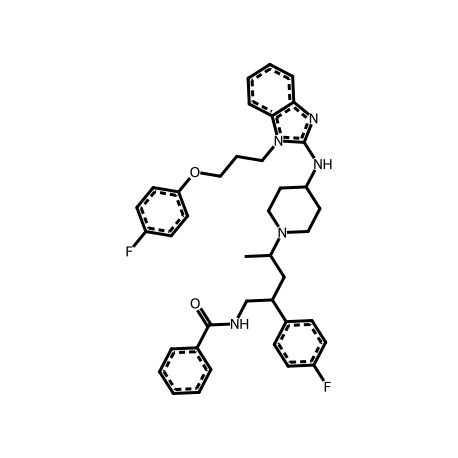 CC(CC(CNC(=O)c1ccccc1)c1ccc(F)cc1)N1CCC(Nc2nc3ccccc3n2CCCOc2ccc(F)cc2)CC1